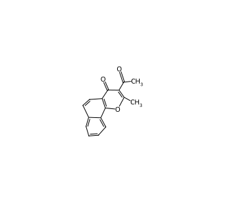 CC(=O)c1c(C)oc2c(ccc3ccccc32)c1=O